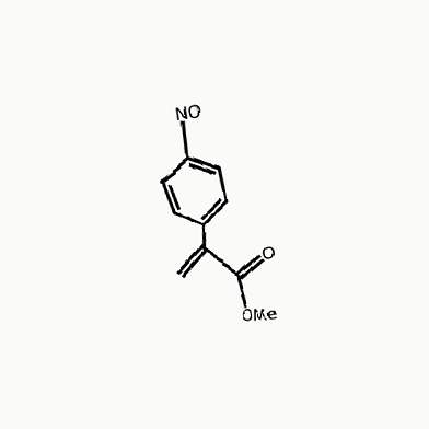 C=C(C(=O)OC)c1ccc(N=O)cc1